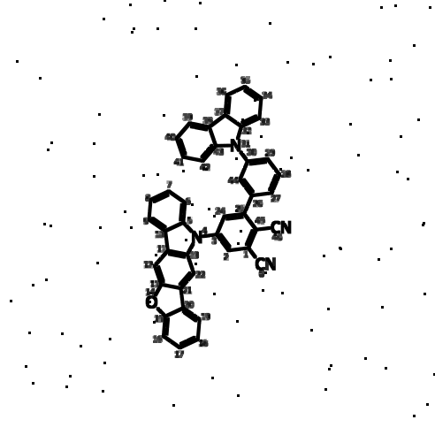 N#Cc1cc(-n2c3ccccc3c3cc4oc5ccccc5c4cc32)cc(-c2cccc(-n3c4ccccc4c4ccccc43)c2)c1C#N